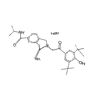 Br.CC(C)NC(=O)c1ccc2c(c1)C(=N)N(CC(=O)c1cc(C(C)(C)C)c(O)c(C(C)(C)C)c1)C2